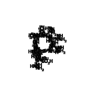 CC(=O)N[C@H]1CSSC(C)(C)[C@@H](C(=O)N[C@H](C(=O)N[C@@H](CCCNC(=N)N)C(=O)N[C@H](C(=O)O)C(C)(C)C)[C@@H](C)O)NC(=O)[C@@H]2CCCN2C(=O)[C@H](Cc2c[nH]c3ccccc23)NC(O)[C@H](Cc2ccc3ccccc3c2)NC(=O)[C@H](CCCNC(=N)N)NC(=O)[C@H](CCCNC(=N)N)NC(=O)[C@@H](CCCNC(=N)N)NC1=O